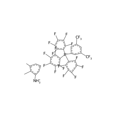 Cc1cccc([NH3+])c1C.Fc1c(F)c(F)c([B-](c2cc(C(F)(F)F)cc(C(F)(F)F)c2)(c2c(F)c(F)c(F)c(F)c2F)c2c(F)c(F)c(F)c(F)c2F)c(F)c1F